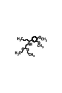 CCCC(NCC(OCC)OCC)c1ccc(OC)c(OC)c1